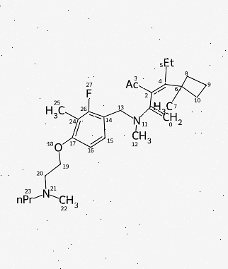 C=C(/C(C(C)=O)=C(/CC)C1(C)CCC1)N(C)Cc1ccc(OCCN(C)CCC)c(C)c1F